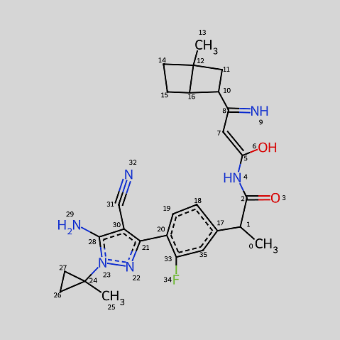 CC(C(=O)N/C(O)=C/C(=N)C1CC2(C)CCC12)c1ccc(-c2nn(C3(C)CC3)c(N)c2C#N)c(F)c1